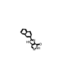 O=c1[nH]ncc2[nH]c(-c3ccc4ccccc4c3)nc12